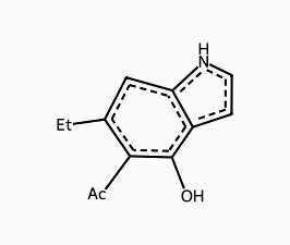 CCc1cc2[nH]ccc2c(O)c1C(C)=O